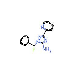 Nc1nc(-c2ccccn2)nn1C(F)c1ccccc1